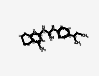 CCC(C)c1ccc(NC(=N)Nc2nc(C)c3c(n2)CCCC3)cc1